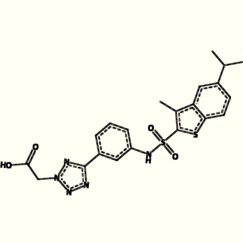 Cc1c(S(=O)(=O)Nc2cccc(-c3nnn(CC(=O)O)n3)c2)sc2ccc(C(C)C)cc12